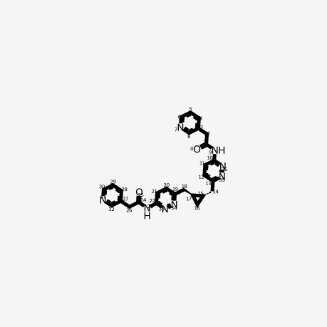 O=C(Cc1cccnc1)Nc1ccc(C[C@@H]2C[C@H]2Cc2ccc(NC(=O)Cc3cccnc3)nn2)nn1